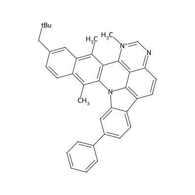 Cc1c2cc(CC(C)(C)C)ccc2c(C)c2c1c1c3c(ccc4c5ccc(-c6ccccc6)cc5n2c43)nc[n+]1C